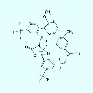 COc1ncc(-c2ccc(C(=O)O)cc2C)cc1-c1cnc(C(F)(F)F)cc1[C@@H]1CC[C@H]2[C@@H](c3cc(C(F)(F)F)cc(C(F)(F)F)c3)OC(=O)N12